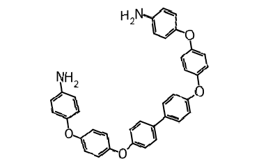 Nc1ccc(Oc2ccc(Oc3ccc(-c4ccc(Oc5ccc(Oc6ccc(N)cc6)cc5)cc4)cc3)cc2)cc1